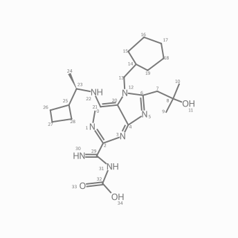 C\N=C(/N=C1/N=C(CC(C)(C)O)N(CC2CCCCC2)/C1=C\N[C@H](C)C1CCC1)C(=N)NC(=O)O